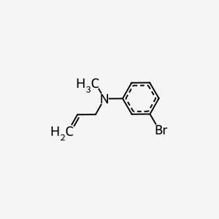 C=CCN(C)c1cccc(Br)c1